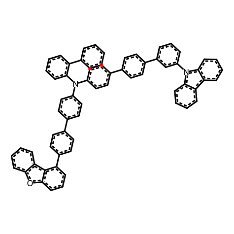 c1ccc(-c2ccccc2N(c2ccc(-c3ccc(-c4cccc(-n5c6ccccc6c6ccccc65)c4)cc3)cc2)c2ccc(-c3ccc(-c4cccc5oc6ccccc6c45)cc3)cc2)cc1